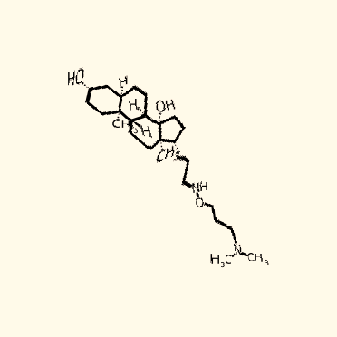 CN(C)CCCONCCC[C@H]1CC[C@]2(O)[C@@H]3CC[C@@H]4C[C@@H](O)CC[C@]4(C)[C@H]3CC[C@]12C